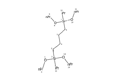 CCCO[Si](CCCC[Si](OCCC)(OCCC)C(C)C)(OCCC)C(C)C